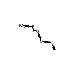 C#COC#COC#COCCC#CO